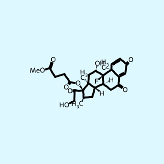 COC(=O)CCC(=O)O[C@]1(C(=O)CO)[C@@H](C)C[C@H]2[C@@H]3CC(=O)C4=CC(=O)C=C[C@]4(C)[C@@]3(F)[C@@H](O)C[C@@]21C